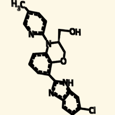 Cc1ccc(N2c3cccc(-c4nc5ccc(Cl)cc5[nH]4)c3OC[C@@H]2CO)nc1